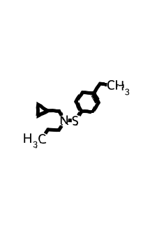 CCCN(CC1CC1)SC1CC=C(CC)CC1